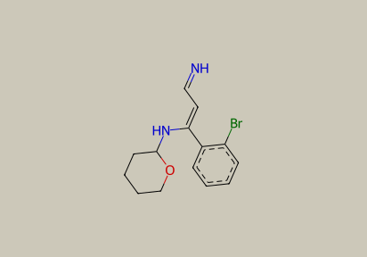 N=C/C=C(\NC1CCCCO1)c1ccccc1Br